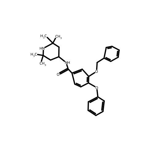 CC1(C)CC(NC(=O)c2ccc(Oc3ccccc3)c(OCc3ccccc3)c2)CC(C)(C)N1